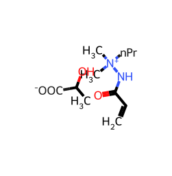 C=CC(=O)N[N+](C)(C)CCC.CC(O)C(=O)[O-]